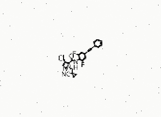 N#CC1(Cn2ncc(Cl)c2C(=O)Nc2c(F)cc(C#Cc3ccccc3)cc2F)CC1